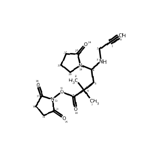 C#CCNC(CC(C)(C)C(=O)ON1C(=O)CCC1=O)N1CCCC1=O